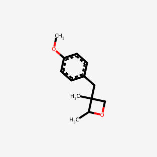 COc1ccc(CC2(C)COC2C)cc1